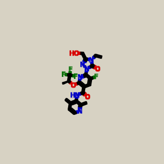 CCn1c(CO)nn(-c2nc(O[C@@H](C)C(F)(F)F)c(C(=O)Nc3c(C)ccnc3C)cc2F)c1=O